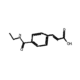 CCNC(=O)c1ccc(/C=C/C(=O)O)cc1